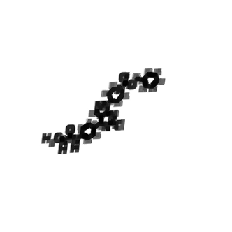 CNC(=O)Nc1ccc(-c2nc(Cl)nc3c2cnn3C2CCN(C(=O)OCc3ccccc3)CC2)cc1